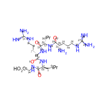 CC(C)C[C@H](NC(=O)[C@H](CCCNC(=N)N)NC(=O)[C@@H](NC(=O)[C@@H](N)CCCNC(=N)N)C(C)C)C(=O)NCC(=O)O